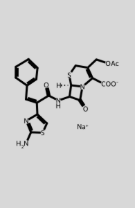 CC(=O)OCC1=C(C(=O)[O-])N2C(=O)C(NC(=O)/C(=C\c3ccccc3)c3csc(N)n3)[C@H]2SC1.[Na+]